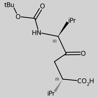 CC(C)[C@H](CC(=O)[C@@H](NC(=O)OC(C)(C)C)C(C)C)C(=O)O